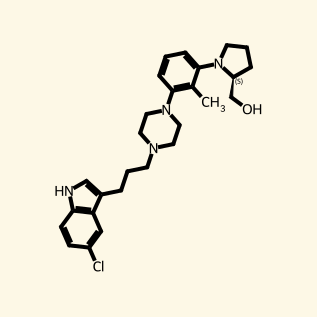 Cc1c(N2CCN(CCCc3c[nH]c4ccc(Cl)cc34)CC2)cccc1N1CCC[C@H]1CO